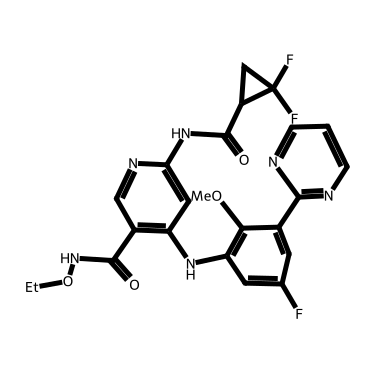 CCONC(=O)c1cnc(NC(=O)C2CC2(F)F)cc1Nc1cc(F)cc(-c2ncccn2)c1OC